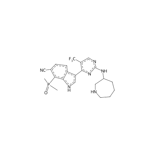 CP(C)(=O)c1c(C#N)ccc2c(-c3nc(NC4CCCCNC4)ncc3C(F)(F)F)c[nH]c12